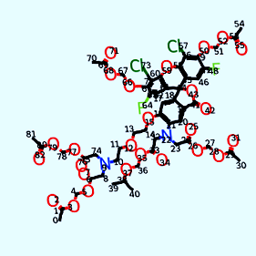 CC(=O)OCOC(=O)CN(CCOCCOc1cc2c(cc1N(CC(=O)OCOC(C)=O)CC(=O)OCOC(C)C)C(=O)OC21c2cc(F)c(OCOC(C)=O)c(Cl)c2Oc2c1cc(F)c(OCOC(C)=O)c2Cl)CC(=O)OCOC(C)=O